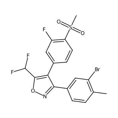 Cc1ccc(-c2noc(C(F)F)c2-c2ccc(S(C)(=O)=O)c(F)c2)cc1Br